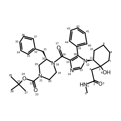 CNC(=O)CC1(O)CCCC[C@@H]1n1cnc(C(=O)N2CCN(C(=O)OC(C)(C)C)C[C@H]2Cc2ccccc2)c1-c1ccccc1